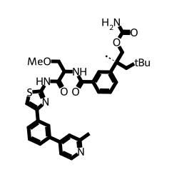 COCC(NC(=O)c1cccc([C@@](C)(COC(N)=O)CC(C)(C)C)c1)C(=O)Nc1nc(-c2cccc(-c3ccnc(C)c3)c2)cs1